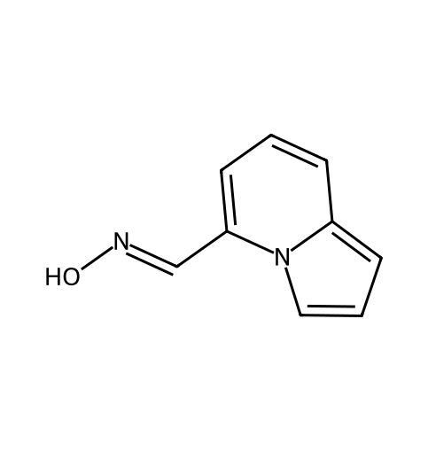 ON=Cc1cccc2cccn12